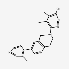 Cc1cnccc1-c1cnc2c(c1)CN(c1nnc(C#N)c(C)c1C)CC2